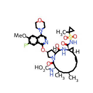 COc1cc2c(N3CCOCC3)cnc(O[C@@H]3C[C@H]4C(=O)N[C@]5(C(=O)NS(=O)(=O)C6(C)CC6)C[C@H]5C=CCC[C@@H](C)C[C@@H](C)[C@H](NC(=O)O)C(=O)N4C3)c2cc1F